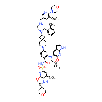 COc1cc(CN2CCN(C3CC4(CCN(c5ccc(C(=O)NS(=O)(=O)c6cc([N+](=O)[O-])c7c(n6)OC[C@@H](C6CCOCC6)N7)c(N6C[C@H](C)Oc7nc8[nH]ccc8cc76)c5)CC4)C3)[C@H](c3ccccc3C)C2)cnc1N1CCOCC1